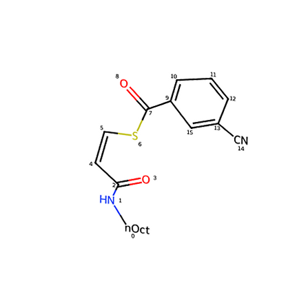 CCCCCCCCNC(=O)/C=C\SC(=O)c1cccc(C#N)c1